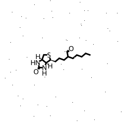 CCCCCC([C]=O)CCC[C@@H]1SC[C@@H]2NC(=O)N[C@@H]21